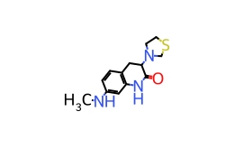 CNc1ccc2c(c1)NC(=O)C(N1CCSC1)C2